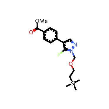 COC(=O)c1ccc(-c2cnn(COCC[Si](C)(C)C)c2F)cc1